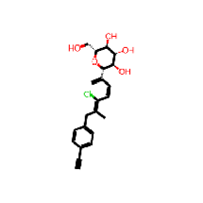 C#Cc1ccc(C/C(C)=C(Cl)/C=C\C(=C)[C@@H]2O[C@H](CO)[C@@H](O)[C@H](O)[C@H]2O)cc1